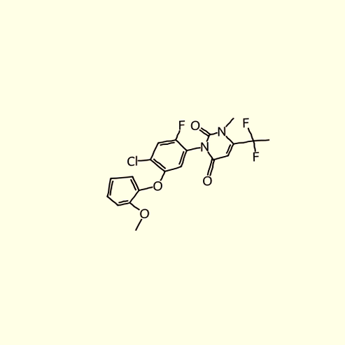 COc1ccccc1Oc1cc(-n2c(=O)cc(C(C)(F)F)n(C)c2=O)c(F)cc1Cl